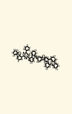 c1ccc(-c2nc(-c3cccc4c3oc3ccccc34)nc(-c3cccc4c3c3ccccc3n4-c3ccc4c(c3)oc3cc(-c5cccc6c7ccccc7n(-c7ccccc7)c56)ccc34)n2)cc1